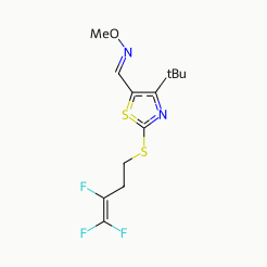 CON=Cc1sc(SCCC(F)=C(F)F)nc1C(C)(C)C